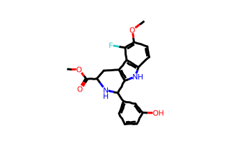 COC(=O)C1Cc2c([nH]c3ccc(OC)c(F)c23)C(c2cccc(O)c2)N1